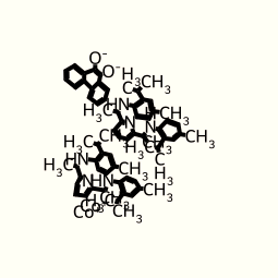 Cc1ccc(NC(C)c2cccc(C(C)Nc3ccc(C)cc3C(C)C)n2)c(C(C)C)c1.Cc1ccc(NC(C)c2cccc(C(C)Nc3ccc(C)cc3C(C)C)n2)c(C(C)C)c1.[Co+].[Co+].[O-]c1c([O-])c2ccccc2c2ccccc12